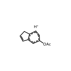 CC(=O)Oc1ccc2c(c1)C=CC2.[H+]